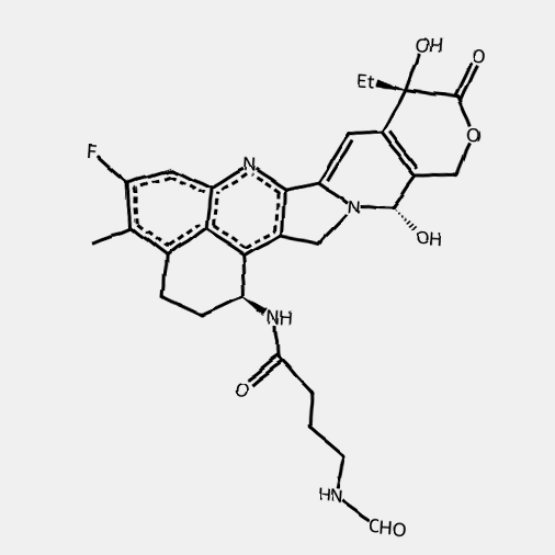 CC[C@@]1(O)C(=O)OCC2=C1C=C1c3nc4cc(F)c(C)c5c4c(c3CN1[C@H]2O)[C@@H](NC(=O)CCCNC=O)CC5